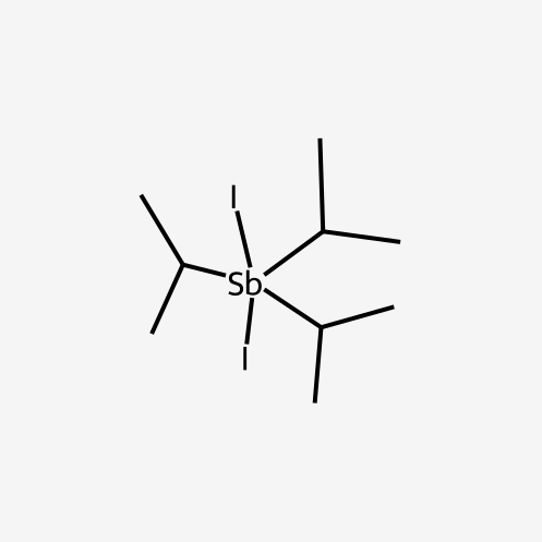 C[CH](C)[Sb]([I])([I])([CH](C)C)[CH](C)C